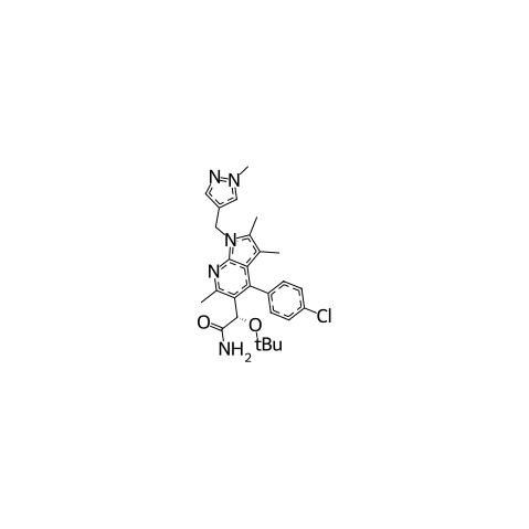 Cc1nc2c(c(C)c(C)n2Cc2cnn(C)c2)c(-c2ccc(Cl)cc2)c1[C@H](OC(C)(C)C)C(N)=O